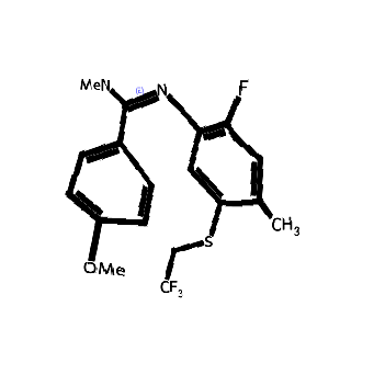 CN/C(=N/c1cc(SCC(F)(F)F)c(C)cc1F)c1ccc(OC)cc1